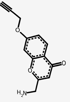 C#CCOc1ccc2c(=O)cc(CN)oc2c1